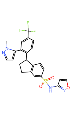 Cn1nccc1-c1cc(C(F)(F)F)ccc1C1CCc2cc(S(=O)(=O)Nc3ccon3)ccc21